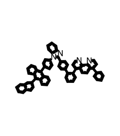 c1ccc(-c2ccnc3c2ccc2c(-c4ccccc4-c4ccc(-c5nc6ccccc6n5-c5ccc(-c6c7ccccc7c(-c7ccc8ccccc8c7)c7ccccc67)cc5)cc4)ccnc23)cc1